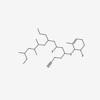 C#CCCC(CC(F)CC(CCC)CC(C)C(C)CC(C)CC)SC1C(C)=CCCC1F